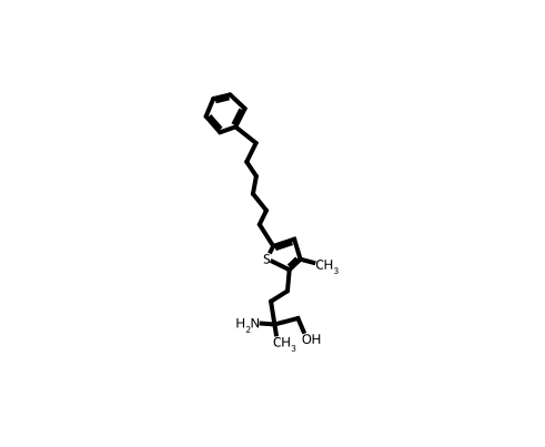 Cc1cc(CCCCCCc2ccccc2)sc1CCC(C)(N)CO